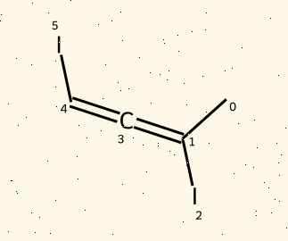 CC(I)=C=CI